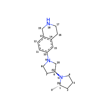 C[C@H]1CCCN1[C@H]1CCN(c2ccc3c(c2)CCNC3)C1